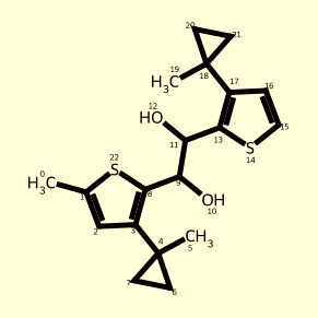 Cc1cc(C2(C)CC2)c(C(O)C(O)c2sccc2C2(C)CC2)s1